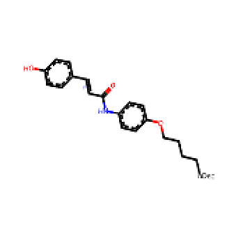 CCCCCCCCCCCCCCOc1ccc(NC(=O)/C=C/c2ccc(O)cc2)cc1